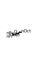 CCCCCCCCCCCC(=O)NN(CCC)CCCC